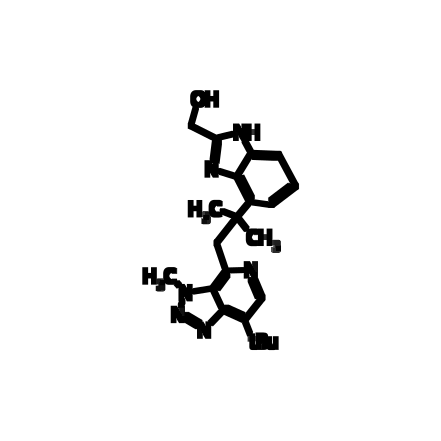 Cn1nnc2c(C(C)(C)C)cnc(CC(C)(C)c3cccc4[nH]c(CO)nc34)c21